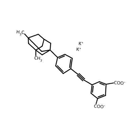 CC12CC3CC(C)(C1)CC(c1ccc(C#Cc4cc(C(=O)[O-])cc(C(=O)[O-])c4)cc1)(C3)C2.[K+].[K+]